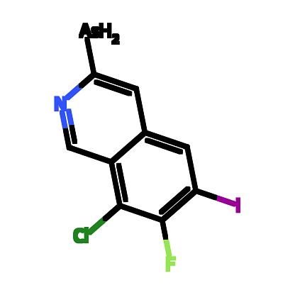 Fc1c(I)cc2cc([AsH2])ncc2c1Cl